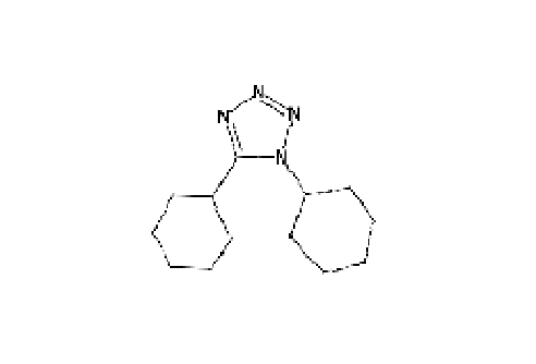 C1CCC(c2nnnn2C2CCCCC2)CC1